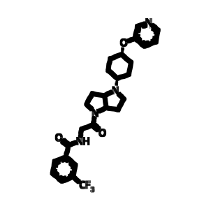 O=C(NCC(=O)N1CCC2C1CCN2[C@H]1CC[C@@H](Oc2cccnc2)CC1)c1cccc(C(F)(F)F)c1